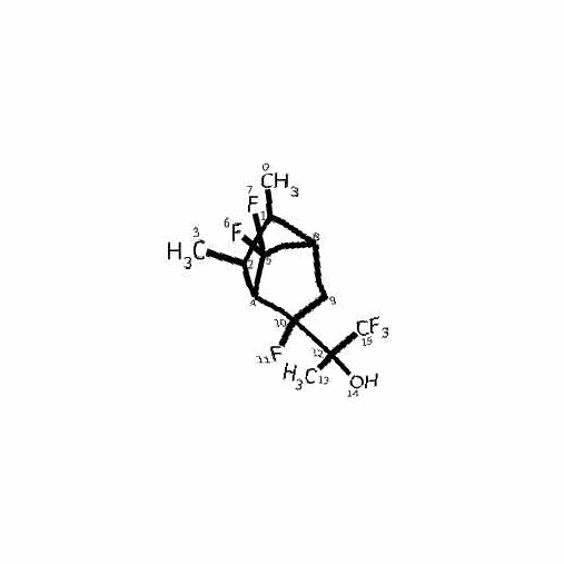 CC1C(C)C2C(F)(F)C1CC2(F)C(C)(O)C(F)(F)F